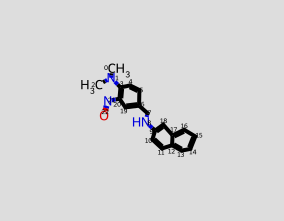 CN(C)c1ccc(CNc2ccc3ccccc3c2)cc1N=O